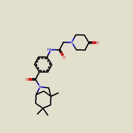 CC1(C)CC2CC(C)(CN2C(=O)c2ccc(NC(=O)CN3CCC(=O)CC3)cc2)C1